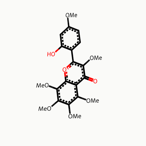 COc1ccc(-c2oc3c(OC)c(OC)c(OC)c(OC)c3c(=O)c2OC)c(O)c1